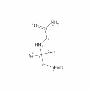 [2H]C([2H])(CCCCCC)NCC(N)=O